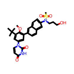 COc1c(-c2ccc3cc(N(CCCO)S(C)(=O)=O)ccc3c2)cc(-n2ccc(=O)[nH]c2=O)cc1C(C)(C)C